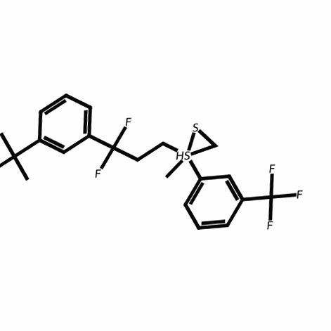 CC(C)(C)c1cccc(C(F)(F)CC[SH]2(C)(c3cccc(C(F)(F)F)c3)CS2)c1